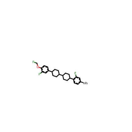 CCCc1ccc(C2CCC(C3CCC(c4ccc(OCF)c(F)c4)CC3)CC2)c(F)c1